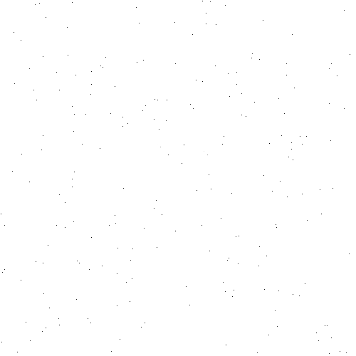 CO[C@H](C)[C@H](N)C(=O)N1CCCC1